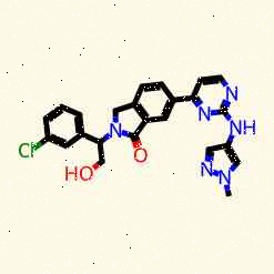 Cn1cc(Nc2nccc(-c3ccc4c(c3)C(=O)N(C(CO)c3cccc(Cl)c3)C4)n2)cn1